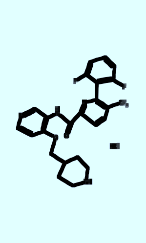 Cl.O=C(Nc1cnccc1OCC1CCNCC1)c1ccc(C(F)(F)F)c(-c2c(F)cccc2F)n1